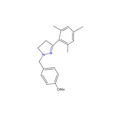 COc1ccc(CN2CCC(c3c(C)cc(C)cc3C)=N2)cc1